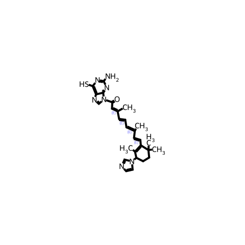 CC1=C(/C=C/C(C)=C/C=C/C(C)=C/C(=O)n2cnc3c(S)nc(N)nc32)C(C)(C)CCC1n1ccnc1